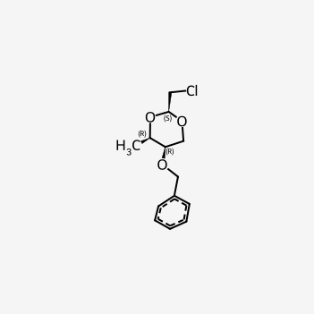 C[C@H]1O[C@@H](CCl)OC[C@H]1OCc1ccccc1